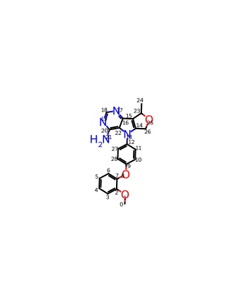 COc1ccccc1Oc1ccc(-n2c3c(c4ncnc(N)c42)C(C)OC3)cc1